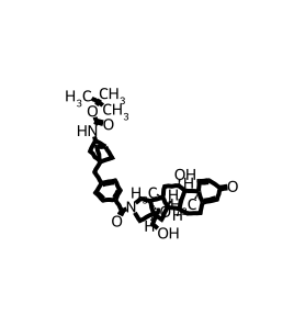 CC(C)(C)OC(=O)NC1CC2(Cc3ccc(C(=O)N4C[C@@H]5C[C@H]6[C@@H]7CCC8=CC(=O)C=C[C@]8(C)[C@H]7[C@@H](O)C[C@]6(C)[C@]5(C(=O)CO)C4)cc3)CC1C2